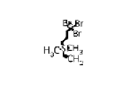 C=C[Si](C)(C)CCC[Si](Br)(Br)Br